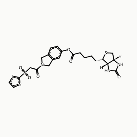 O=C1N[C@H]2[C@H](CS[C@H]2CCCCC(=O)Oc2ccc3c(c2)CN(C(=O)CS(=O)(=O)c2nccs2)C3)N1